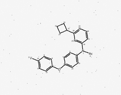 CC(=O)N(c1ccc(Oc2ccc(F)cc2)cc1)c1ccnc(C2CCC2)n1